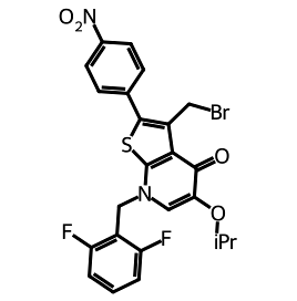 CC(C)Oc1cn(Cc2c(F)cccc2F)c2sc(-c3ccc([N+](=O)[O-])cc3)c(CBr)c2c1=O